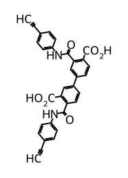 C#Cc1ccc(NC(=O)c2ccc(-c3ccc(C(=O)O)c(C(=O)Nc4ccc(C#C)cc4)c3)cc2C(=O)O)cc1